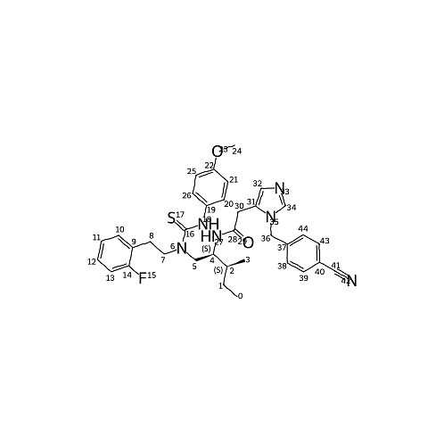 CC[C@H](C)[C@@H](CN(CCc1ccccc1F)C(=S)Nc1ccc(OC)cc1)NC(=O)Cc1cncn1Cc1ccc(C#N)cc1